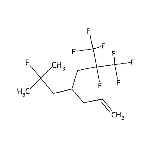 C=CCC(CC(C)(C)F)CC(F)(C(F)(F)F)C(F)(F)F